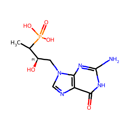 CC([C@H](O)Cn1cnc2c(=O)[nH]c(N)nc21)P(=O)(O)O